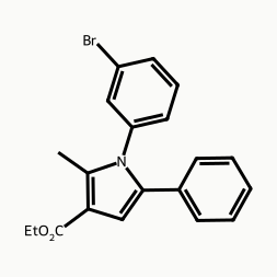 CCOC(=O)c1cc(-c2ccccc2)n(-c2cccc(Br)c2)c1C